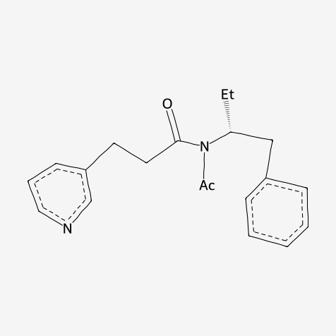 CC[C@H](Cc1ccccc1)N(C(C)=O)C(=O)CCc1cccnc1